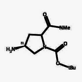 CNC(=O)C1C[C@H](N)CN1C(=O)OC(C)(C)C